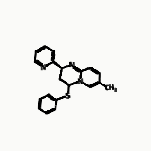 CC1=CN2C(=NC(c3ccccn3)CC2Sc2ccccc2)C=C1